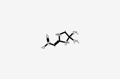 CC1(C)CNC(=C[N+](=O)[O-])N1